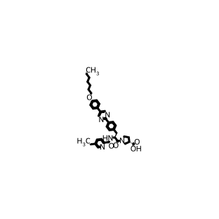 CCCCCCCOc1ccc(-c2cnc(-c3ccc(C[C@H](NC(=O)c4ccc(CC)cn4)C(=O)N4CC[C@H](C(=O)O)C4)cc3)nc2)cc1